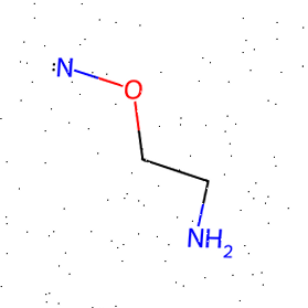 [N]OCCN